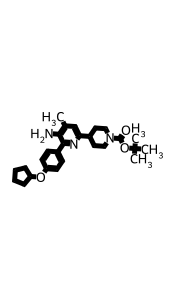 Cc1cc(C2CCN(C(=O)OC(C)(C)C)CC2)nc(-c2ccc(OC3CCCC3)cc2)c1N